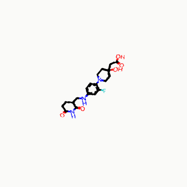 O=C(O)CC1(O)CCN(c2ccc(NCC3CCC(=O)NC3=O)cc2F)CC1